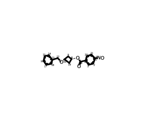 O=Nc1ccc(C(=O)O[C@H]2C[C@H](OCc3ccccc3)C2)cc1